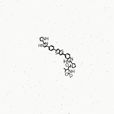 COC(=O)N[C@H](C(=O)N1CCCC1c1nc2ccc(-c3cc4sc(-c5ccc(-c6c[nH]c(C7CCCN7)n6)cc5)cc4s3)cc2[nH]1)C(C)C